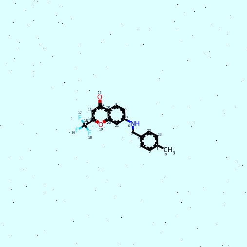 Cc1ccc(CNc2ccc3c(=O)cc(C(F)(F)F)oc3c2)cc1